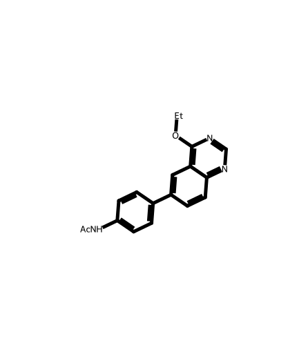 CCOc1ncnc2ccc(-c3ccc(NC(C)=O)cc3)cc12